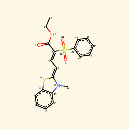 CCOC(=O)/C(=C/C=C1\Sc2ccccc2N1C)S(=O)(=O)c1ccccc1